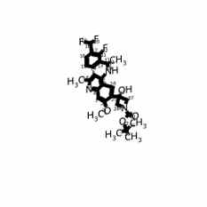 COc1cc2nc(C)cc(N[C@H](C)c3cccc(C(F)F)c3F)c2cc1C1(O)CN(C(=O)OC(C)(C)C)C1